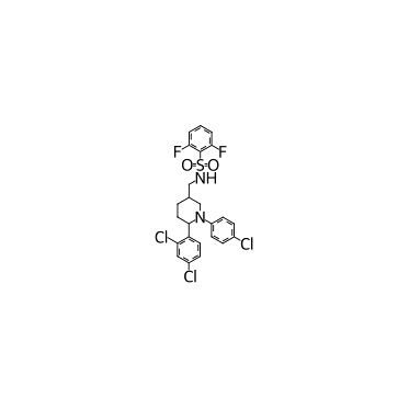 O=S(=O)(NCC1CCC(c2ccc(Cl)cc2Cl)N(c2ccc(Cl)cc2)C1)c1c(F)cccc1F